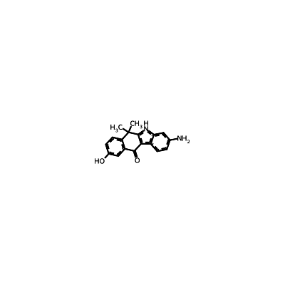 CC1(C)c2ccc(O)cc2C(=O)c2c1[nH]c1cc(N)ccc21